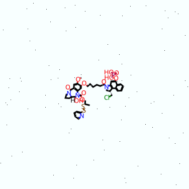 COc1cc2c(cc1OCCCCCC(=O)N1C[C@@H](CCl)c3c1cc(OP(=O)(O)O)c1ccccc31)N(C(=O)OCC(C)SSc1ccccn1)C(O)[C@@H]1CCCN1C2=O